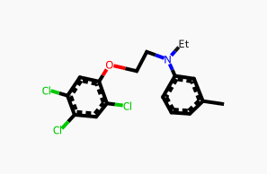 CCN(CCOc1cc(Cl)c(Cl)cc1Cl)c1cccc(C)c1